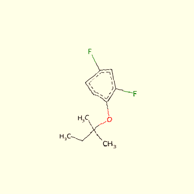 CCC(C)(C)Oc1ccc(F)cc1F